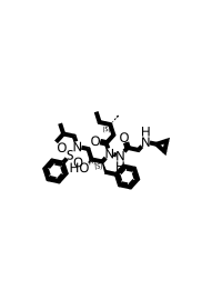 CC[C@H](C)CC(=O)N(NC(=O)CNC1CC1)[C@@H](Cc1ccccc1)[C@H](O)CN(CC(C)C)S(=O)(=O)c1ccccc1